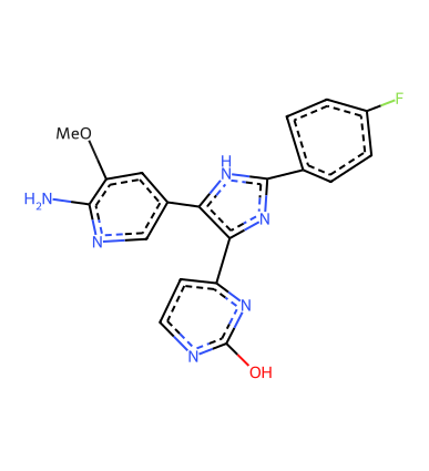 COc1cc(-c2[nH]c(-c3ccc(F)cc3)nc2-c2ccnc(O)n2)cnc1N